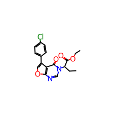 CCOC(=O)C(CC)n1cnc2occ(-c3ccc(Cl)cc3)c2c1=O